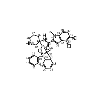 Cn1c(C(=O)NC2(CO[Si](c3ccccc3)(c3ccccc3)C(C)(C)C)CCCNC2)cc2c(Cl)c(Cl)ccc21